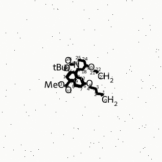 C=CCCCOc1ccc2c(C(=O)OC)ccc(C3CC(OCC=C)CCN3C(=O)OC(C)(C)C)c2c1